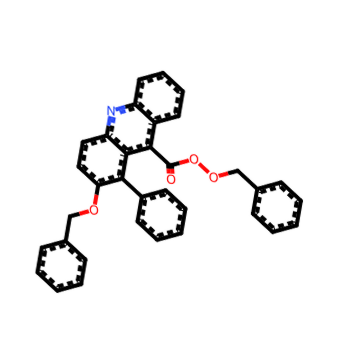 O=C(OOCc1ccccc1)c1c2ccccc2nc2ccc(OCc3ccccc3)c(-c3ccccc3)c12